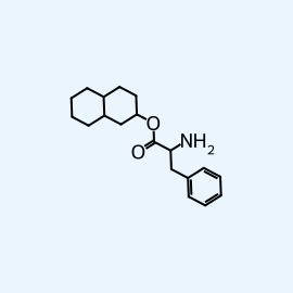 NC(Cc1ccccc1)C(=O)OC1CCC2CCCCC2C1